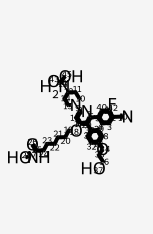 N#Cc1ccc(-c2nc(N3CCC(N)CC3)cc(OCCCCCCC(=O)NO)c2-c2ccc(OCCO)cc2)cc1F.O=CO